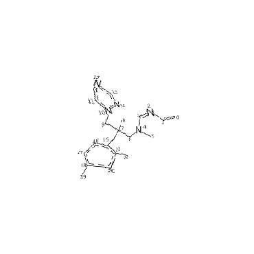 C=C/N=C\N(C)CC(C)(Cn1cncn1)c1ccc(C)cc1C